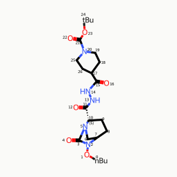 CCCCON1C(=O)N2CC1CC[C@H]2C(=O)NNC(=O)C1CCN(C(=O)OC(C)(C)C)CC1